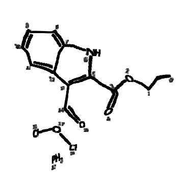 CCOC(=O)c1[nH]c2ccccc2c1C=O.ClOCl.P